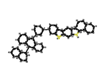 c1cc(-c2ccc3c(c2)sc2cc4sc5c6ccccc6ccc5c4cc23)cc(-c2c3ccccc3c(-c3cccc4ccccc34)c3ccccc23)c1